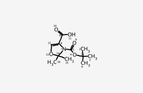 CC(C)(C)OC(=O)N1C(C(=O)O)=COC1(C)C